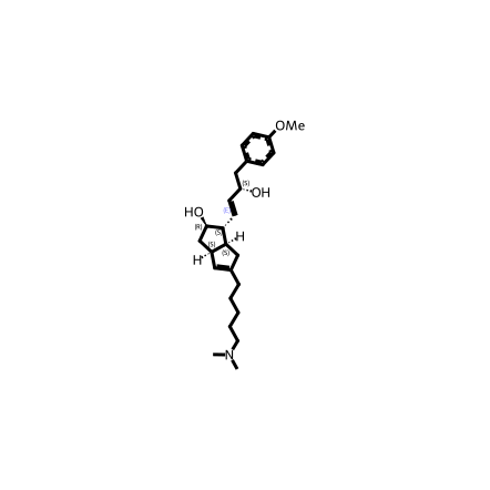 COc1ccc(C[C@H](O)/C=C/[C@@H]2[C@H]3CC(CCCCCN(C)C)=C[C@H]3C[C@H]2O)cc1